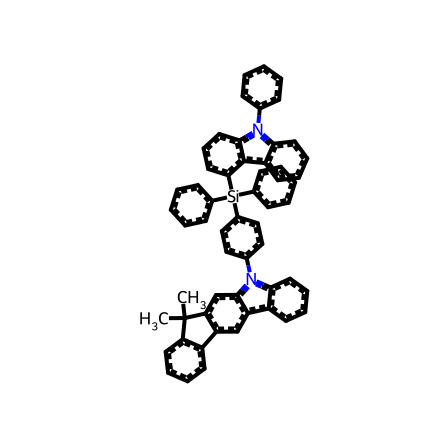 CC1(C)c2ccccc2-c2cc3c4ccccc4n(-c4ccc([Si](c5ccccc5)(c5ccccc5)c5cccc6c5c5ccccc5n6-c5ccccc5)cc4)c3cc21